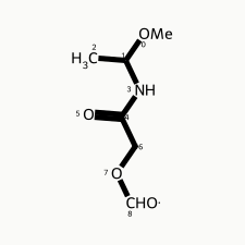 COC(C)NC(=O)CO[C]=O